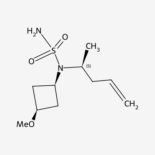 C=CC[C@H](C)N([C@H]1C[C@@H](OC)C1)S(N)(=O)=O